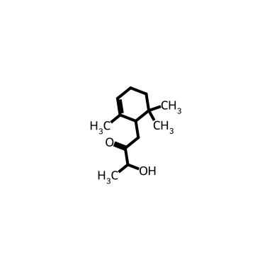 CC1=CCCC(C)(C)C1CC(=O)C(C)O